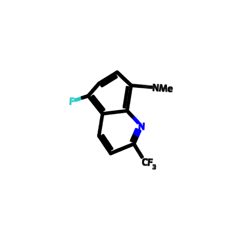 CNc1ccc(F)c2ccc(C(F)(F)F)nc12